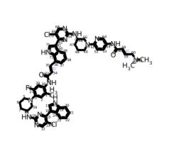 Cc1cc(N2CCC[C@@H](Nc3ncc(Cl)c(-c4c[nH]c5ccccc45)n3)C2)c(F)cc1NC(=O)/C=C/c1cccc2c(-c3nc(N[C@@H]4CCCN(c5ccc(NC(=O)/C=C/CN(C)C)cn5)C4)ncc3Cl)c[nH]c12